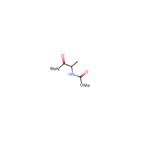 CNC(=O)C(C)NC(=O)OC